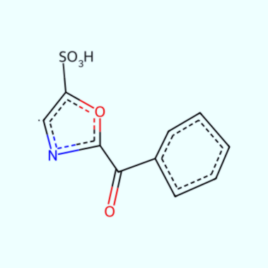 O=C(c1ccccc1)c1n[c]c(S(=O)(=O)O)o1